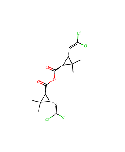 CC1(C)[C@@H](C=C(Cl)Cl)[C@@H]1C(=O)OC(=O)[C@H]1[C@H](C=C(Cl)Cl)C1(C)C